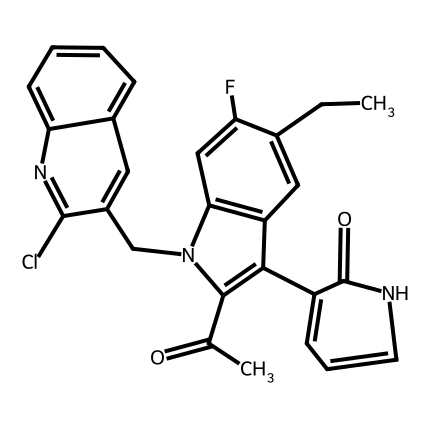 CCc1cc2c(-c3ccc[nH]c3=O)c(C(C)=O)n(Cc3cc4ccccc4nc3Cl)c2cc1F